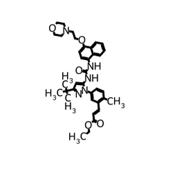 CCOC(=O)/C=C/c1cc(-n2nc(C(C)(C)C)cc2NC(=O)Nc2ccc(OCCN3CCOCC3)c3ccccc23)ccc1C